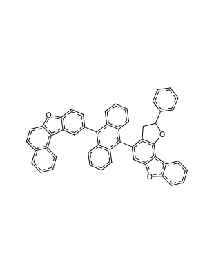 c1ccc(C2Cc3c(-c4c5ccccc5c(-c5ccc6oc7ccc8ccccc8c7c6c5)c5ccccc45)cc4oc5ccccc5c4c3O2)cc1